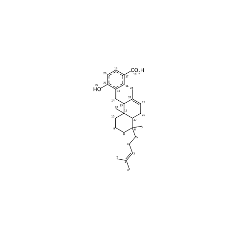 CC(C)=CCCC1(C)CCCC2(C)C(Cc3cc(C(=O)O)ccc3O)C(C)=CCC12